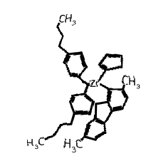 CCCCc1ccc([C](c2ccc(CCCC)cc2)=[Zr]([C]2=CC=CC2)[c]2c(C)ccc3c2Cc2cc(C)ccc2-3)cc1